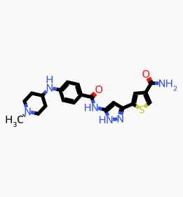 CN1CCC(Nc2ccc(C(=O)Nc3cc(-c4cc(C(N)=O)cs4)n[nH]3)cc2)CC1